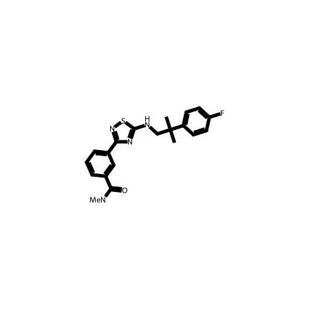 CNC(=O)c1cccc(-c2nsc(NCC(C)(C)c3ccc(F)cc3)n2)c1